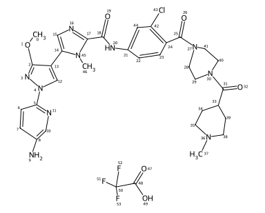 COc1nn(-c2ccc(N)cn2)cc1-c1cnc(C(=O)Nc2ccc(C(=O)N3CCN(C(=O)C4CCN(C)CC4)CC3)c(Cl)c2)n1C.O=C(O)C(F)(F)F